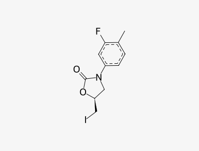 Cc1ccc(N2C[C@@H](CI)OC2=O)cc1F